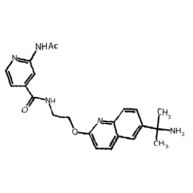 CC(=O)Nc1cc(C(=O)NCCOc2ccc3cc(C(C)(C)N)ccc3n2)ccn1